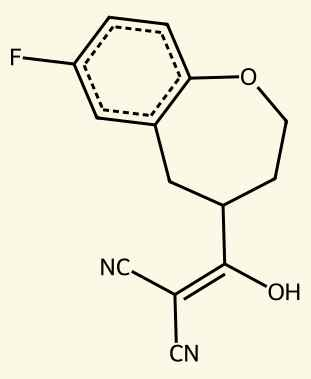 N#CC(C#N)=C(O)C1CCOc2ccc(F)cc2C1